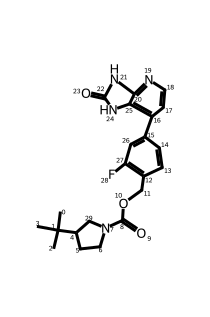 CC(C)(C)C1CCN(C(=O)OCc2ccc(-c3ccnc4[nH]c(=O)[nH]c34)cc2F)C1